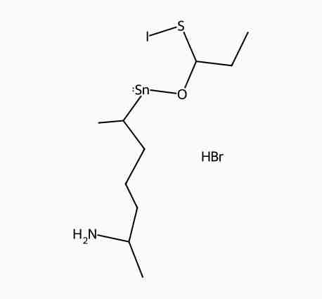 Br.CCC([O][Sn][CH](C)CCCC(C)N)SI